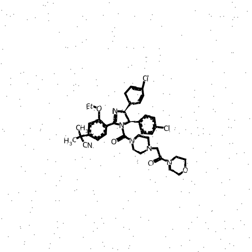 CCOc1cc(C(C)(C)C#N)ccc1C1=N[C@@H](C2C=CC(Cl)=CC2)[C@@H](c2ccc(Cl)cc2)N1C(=O)N1CCN(CC(=O)N2CCOCC2)CC1